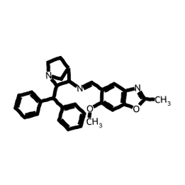 COc1cc2oc(C)nc2cc1C=NC1C2CCN(C2)C1C(c1ccccc1)c1ccccc1